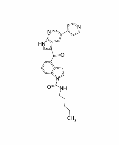 CCCCCNC(=O)n1ccc2c(C(=O)c3c[nH]c4ncc(-c5ccncc5)cc34)cccc21